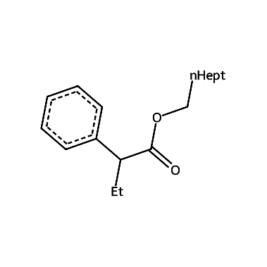 CCCCCCCCOC(=O)C(CC)c1ccccc1